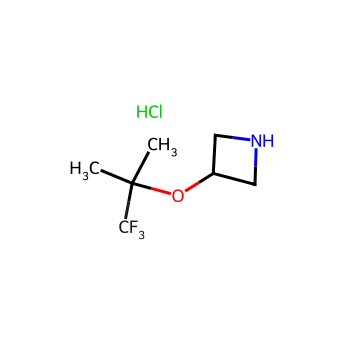 CC(C)(OC1CNC1)C(F)(F)F.Cl